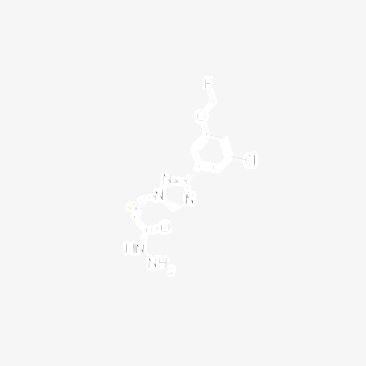 NNC(=O)/C=C\n1cnc(-c2cc(Cl)cc(OCF)c2)n1